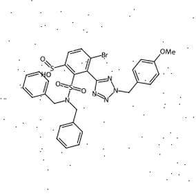 COc1ccc(Cn2nnc(-c3c(Br)ccc(S(=O)O)c3S(=O)(=O)N(Cc3ccccc3)Cc3ccccc3)n2)cc1